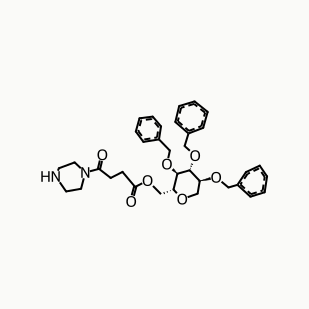 O=C(CCC(=O)N1CCNCC1)OC[C@H]1OC[C@H](OCc2ccccc2)[C@@H](OCc2ccccc2)[C@@H]1OCc1ccccc1